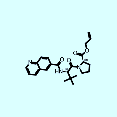 C=CCOC(=O)[C@H]1CCCN1C(=O)[C@H](NC(=O)c1ccc2ncccc2c1)C(C)(C)C